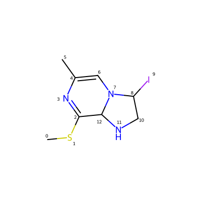 CSC1=NC(C)=CN2C(I)CNC12